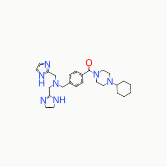 O=C(c1ccc(CN(CC2=NCCN2)Cc2ncc[nH]2)cc1)N1CCN(C2CCCCC2)CC1